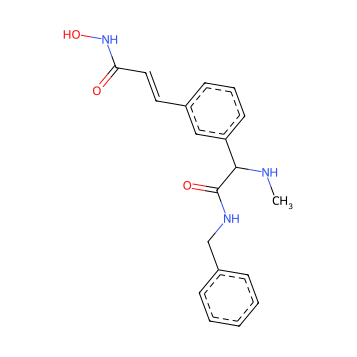 CNC(C(=O)NCc1ccccc1)c1cccc(C=CC(=O)NO)c1